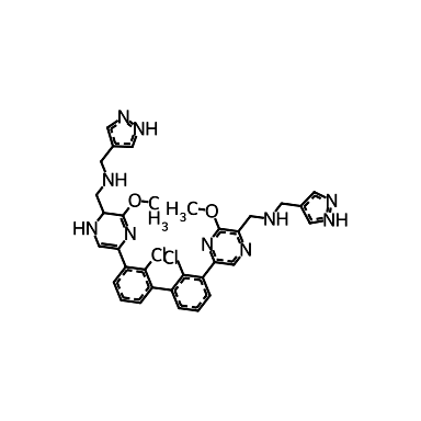 COC1=NC(c2cccc(-c3cccc(-c4cnc(CNCc5cn[nH]c5)c(OC)n4)c3Cl)c2Cl)=CNC1CNCc1cn[nH]c1